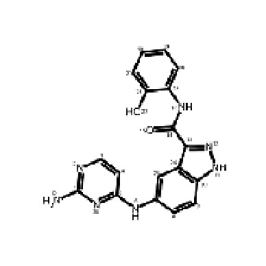 Nc1nccc(Nc2ccc3[nH]nc(C(=O)Nc4ccccc4O)c3c2)n1